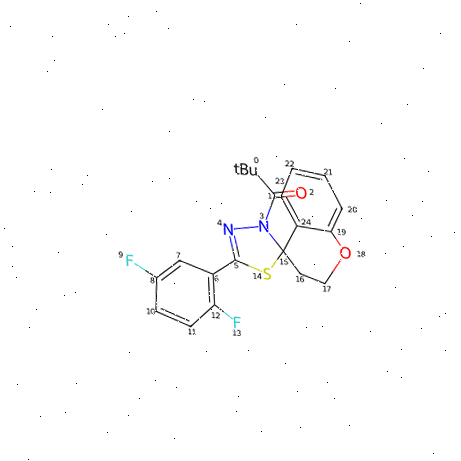 CC(C)(C)C(=O)N1N=C(c2cc(F)ccc2F)SC12CCOc1ccccc12